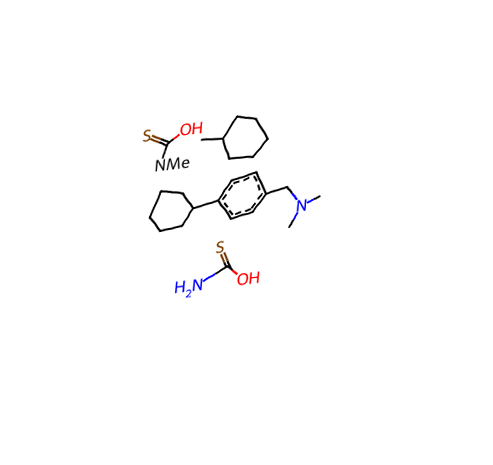 CC1CCCCC1.CN(C)Cc1ccc(C2CCCCC2)cc1.CNC(O)=S.NC(O)=S